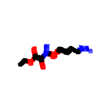 CCOC(=O)C(=O)NOCCCCN